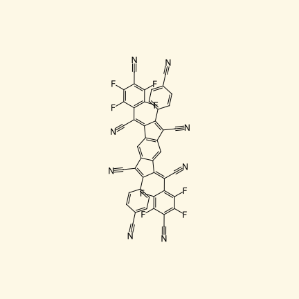 N#CC1=C(c2ccc(C#N)cc2)/C(=C(/C#N)c2c(F)c(F)c(C#N)c(F)c2F)c2cc3c(cc21)/C(=C(\C#N)c1c(F)c(F)c(C#N)c(F)c1F)C(c1ccc(C#N)cc1)=C3C#N